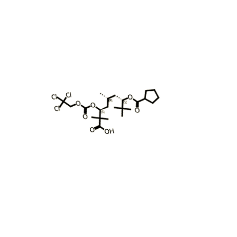 C[C@H](C[C@H](OC(=O)C1CCCC1)C(C)(C)C)C[C@H](OC(=O)OCC(Cl)(Cl)Cl)C(C)(C)C(=O)O